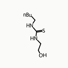 CCCCCNC(=S)NCCO